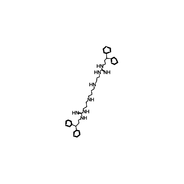 N=C(NCCCNCCCCNCCCNC(=N)NCCC(c1ccccc1)c1ccccc1)NCCC(c1ccccc1)c1ccccc1